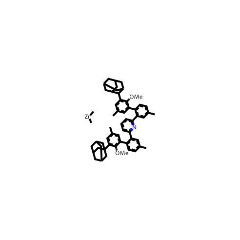 COc1c(-c2ccc(C)cc2-c2cccc(-c3cc(C)ccc3-c3cc(C)cc(C45CC6CC(CC(C6)C4)C5)c3OC)n2)cc(C)cc1C1C2CC3CC(C2)CC1C3.[CH3][Zr][CH3]